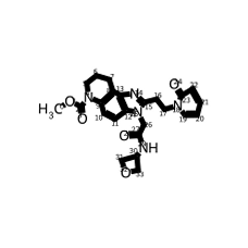 COC(=O)N1CCCc2c1ccc1c2nc(CCn2ccccc2=O)n1CC(=O)NC1COC1